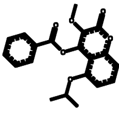 COc1c(OC(=O)c2ccccc2)c2c(OC(C)C)cccc2oc1=O